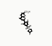 Cc1cc(-c2c(F)cc(S(=O)(=O)N3CC[C@H](F)C3)cc2F)nc2nc(C(=O)O)ccc12